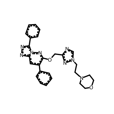 c1ccc(-c2cc3nnc(-c4ccccc4)n3nc2OCc2ncn(CCN3CCOCC3)n2)cc1